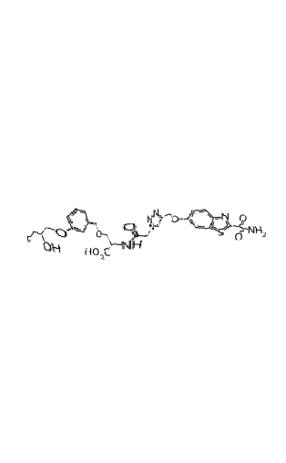 NS(=O)(=O)c1nc2ccc(OCc3cn(CC(=O)N[C@@H](COCc4cccc(OCC(O)CF)c4)C(=O)O)nn3)cc2s1